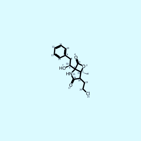 C[C@@]12OC(=O)C1([C@@H](O)Cc1ccccc1)NC(=O)C2CCCl